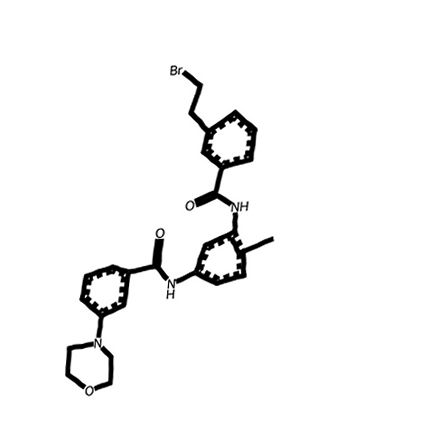 Cc1ccc(NC(=O)c2cccc(N3CCOCC3)c2)cc1NC(=O)c1cccc(CCBr)c1